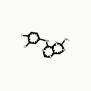 Nc1ncc2ncnc(Nc3ccc(F)c(Cl)c3)c2n1